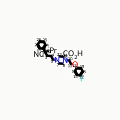 CC(C)C(C#N)(CCCN1CCN(CCOc2ccc(F)cc2)C(C(=O)O)C1)c1ccccc1